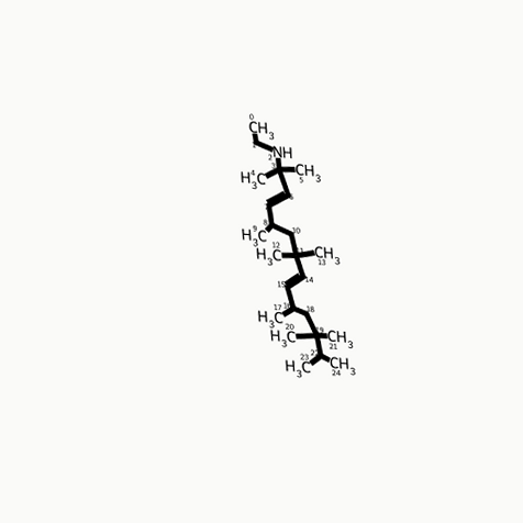 CCNC(C)(C)/C=C/C(C)CC(C)(C)/C=C/C(C)CC(C)(C)C(C)C